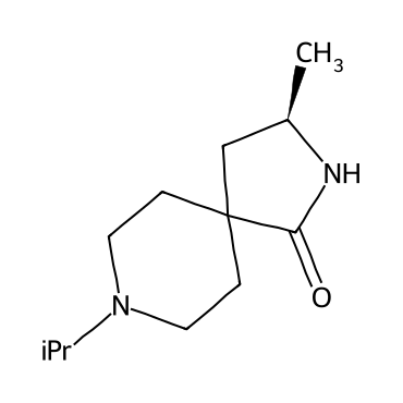 CC(C)N1CCC2(CC1)C[C@@H](C)NC2=O